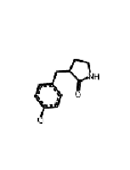 O=C1NCCC1Cc1ccc(Cl)cc1